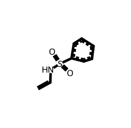 C=CNS(=O)(=O)c1ccccc1